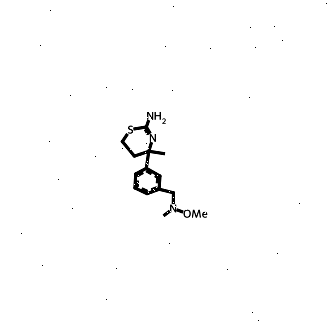 CON(C)Cc1cccc(C2(C)CCSC(N)=N2)c1